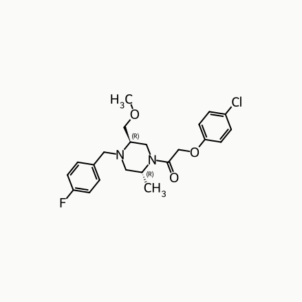 COC[C@H]1CN(C(=O)COc2ccc(Cl)cc2)[C@H](C)CN1Cc1ccc(F)cc1